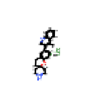 Cc1c(-c2ccc3c(c2)CCC2(CCNCC2)O3)cnc2ccccc12.Cl.Cl